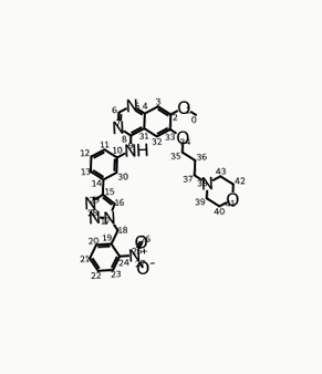 COc1cc2ncnc(Nc3cccc(-c4cn(Cc5ccccc5[N+](=O)[O-])nn4)c3)c2cc1OCCCN1CCOCC1